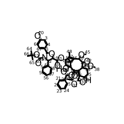 COc1ccc(C2OC(C(=O)O[C@H]3C[C@@]4(O)[C@@H](OC(=O)c5ccccc5)[C@@H]5[C@]6(OC(C)=O)CO[C@@H]6C[C@H](OC)[C@@]5(C)C(=O)[C@H](OC)C(=C3C)C4(C)C)C(c3ccccc3)N2C(=O)OC(C)(C)C)cc1